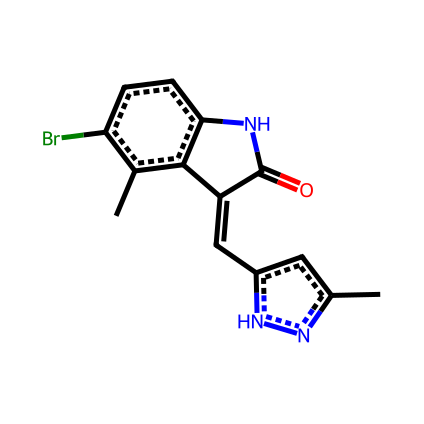 Cc1cc(C=C2C(=O)Nc3ccc(Br)c(C)c32)[nH]n1